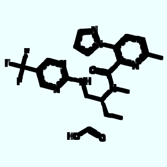 CC[C@@H](CNc1ncc(C(F)(F)F)cn1)N(C)C(=O)c1nc(C)ccc1-n1cccn1.O=CO